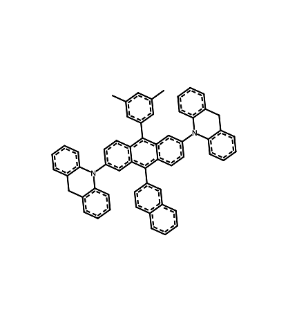 Cc1cc(C)cc(-c2c3ccc(N4c5ccccc5Cc5ccccc54)cc3c(-c3ccc4ccccc4c3)c3ccc(N4c5ccccc5Cc5ccccc54)cc23)c1